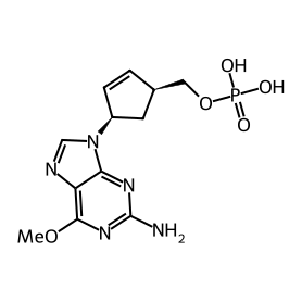 COc1nc(N)nc2c1ncn2[C@H]1C=C[C@@H](COP(=O)(O)O)C1